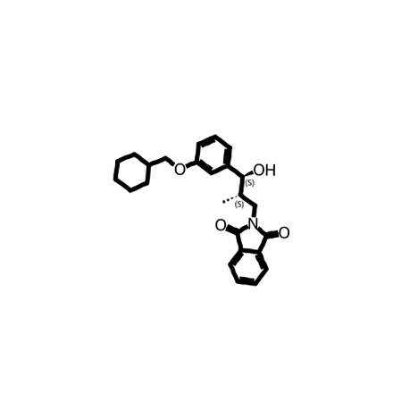 C[C@@H](CN1C(=O)c2ccccc2C1=O)[C@H](O)c1cccc(OCC2CCCCC2)c1